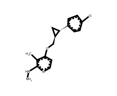 Cc1c(OC[C@H]2C[C@@H]2c2ccc(Cl)cc2)ccnc1NN